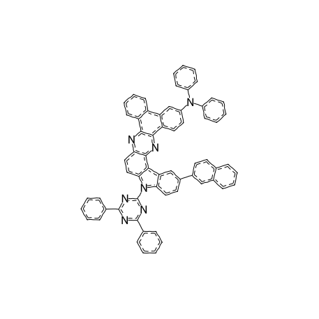 c1ccc(-c2nc(-c3ccccc3)nc(-n3c4ccc(-c5ccc6ccccc6c5)cc4c4c5nc6c7ccc(N(c8ccccc8)c8ccccc8)cc7c7ccccc7c6nc5ccc43)n2)cc1